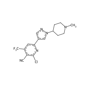 CN1CCC(n2cc(-c3cc(C(F)(F)F)c(C#N)c(Cl)n3)cn2)CC1